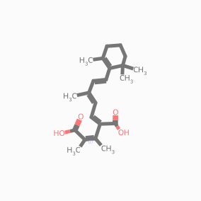 CC(C=CC1=C(C)CCCC1(C)C)=CC=C(C(=O)O)/C(C)=C(/C)C(=O)O